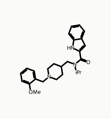 COc1ccccc1CN1CCC(CN(C(=O)c2cc3ccccc3[nH]2)C(C)C)CC1